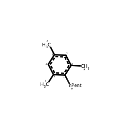 CCCCCc1c(C)cc(C)cc1C